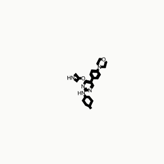 CC1CCC(Nc2ncc(-c3ccc(N4CCOCC4)cc3)c(OC3CNC3)n2)CC1